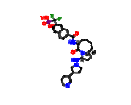 O=C(N[C@H]1CCCC[C@H]2CC[C@@H](NN3CCC(c4cccnc4)C3)N2C1=O)c1ccc2ccc(C(F)(F)P(=O)(O)O)cc2c1